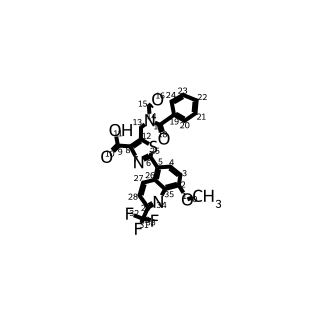 COc1ccc(-c2nc(C(=O)O)c(CN(C=O)C(=O)c3ccccc3)s2)c2ccc(C(F)(F)F)nc12